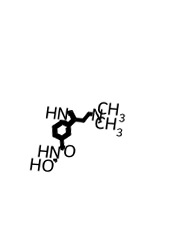 CN(C)CCc1c[nH]c2ccc(C(=O)NCO)cc12